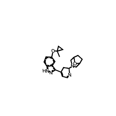 CC1(Oc2ccc3[nH]nc(C4=CC=NC(N5CC6CCC(C5)O6)C4)c3c2)CC1